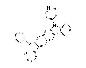 c1ccc(-n2c3ccccc3c3cc4cc5c6ccccc6n(-c6ccncc6)c5cc4cc32)cc1